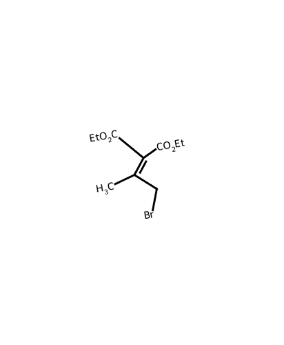 CCOC(=O)C(C(=O)OCC)=C(C)CBr